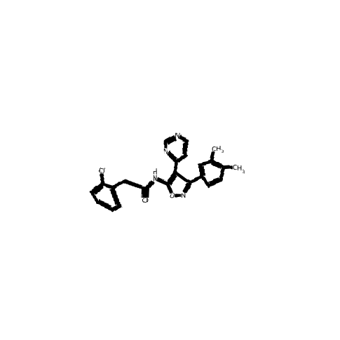 Cc1ccc(-c2noc(NC(=O)Cc3ccccc3Cl)c2-c2ccncn2)cc1C